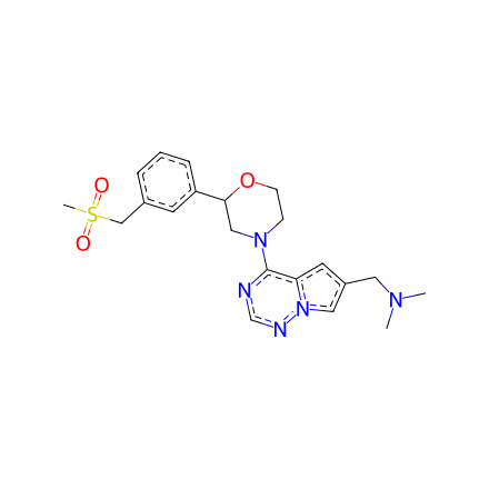 CN(C)Cc1cc2c(N3CCOC(c4cccc(CS(C)(=O)=O)c4)C3)ncnn2c1